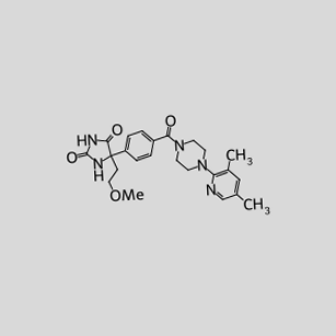 COCCC1(c2ccc(C(=O)N3CCN(c4ncc(C)cc4C)CC3)cc2)NC(=O)NC1=O